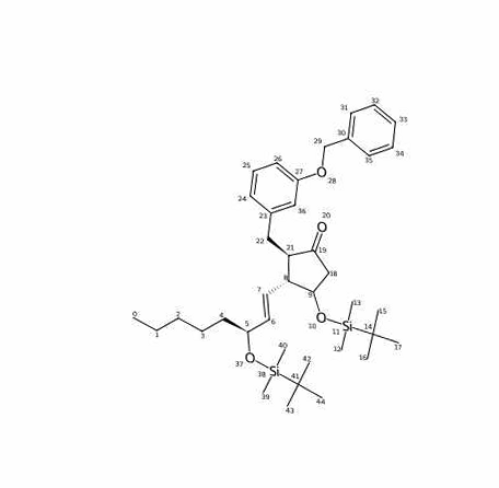 CCCCC[C@@H](/C=C/[C@H]1C(O[Si](C)(C)C(C)(C)C)CC(=O)[C@@H]1Cc1cccc(OCc2ccccc2)c1)O[Si](C)(C)C(C)(C)C